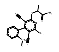 CC(Sc1nc(N)c(C#N)c(-c2ccccc2[N+](=O)[O-])c1C#N)C(N)=O